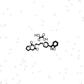 O=C(O)C(=O)O.O=C1CC2CCCN2C(=O)N1CCCN1CCC(c2noc3ccccc23)CC1